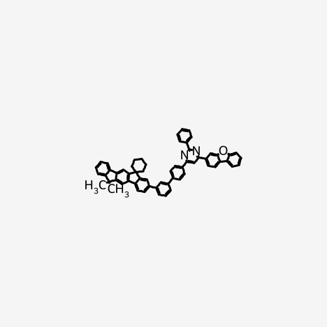 CC1(C)c2ccccc2-c2cc3c(cc21)-c1ccc(-c2cccc(-c4ccc(-c5cc(-c6ccc7c(c6)oc6ccccc67)nc(-c6ccccc6)n5)cc4)c2)cc1C31CCCCC1